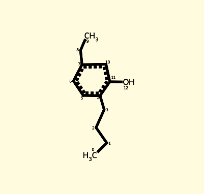 CCCCc1ccc(CC)cc1O